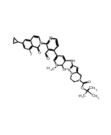 CN1C=C(c2ccnc(-n3ccc4cc(C5CC5)cc(F)c4c3=O)c2C=O)C=C(Nc2cc3n(n2)CCN(C(=O)OC(C)(C)C)C3)C1O